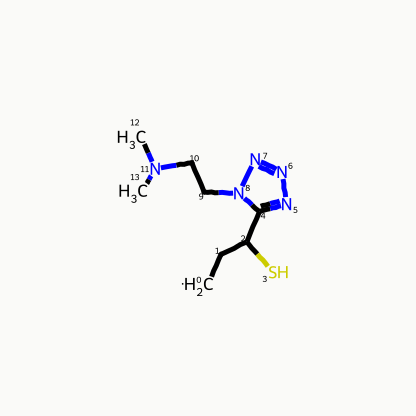 [CH2]CC(S)c1nnnn1CCN(C)C